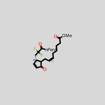 CCCCCC(=O)C(F)(F)C[C@H]1C=CC(=O)C1C/C=C\CCCCC(=O)OC